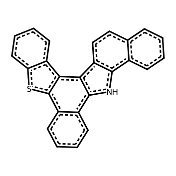 c1ccc2c(c1)ccc1c2[nH]c2c3ccccc3c3sc4ccccc4c3c12